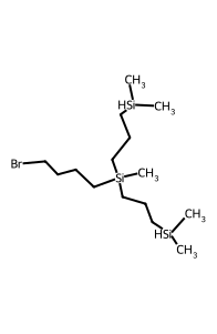 C[SiH](C)CCC[Si](C)(CCCCBr)CCC[SiH](C)C